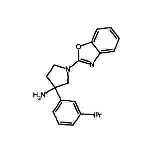 CC(C)c1cccc(C2(N)CCN(c3nc4ccccc4o3)C2)c1